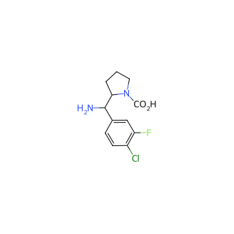 NC(c1ccc(Cl)c(F)c1)C1CCCN1C(=O)O